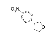 C1CCOC1.O=[N+]([O-])c1ccccc1